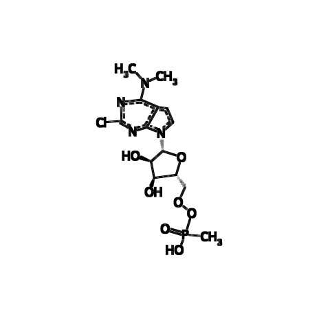 CN(C)c1nc(Cl)nc2c1ccn2[C@@H]1O[C@H](COOP(C)(=O)O)[C@@H](O)[C@H]1O